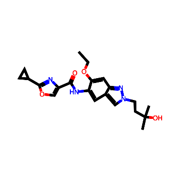 CCOc1cc2nn(CCC(C)(C)O)cc2cc1NC(=O)c1coc(C2CC2)n1